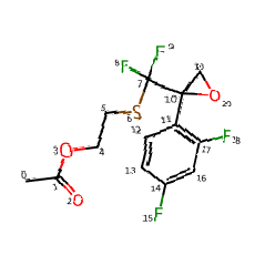 CC(=O)OCCSC(F)(F)C1(c2ccc(F)cc2F)CO1